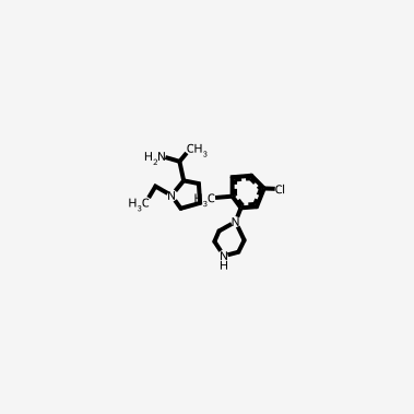 CCN1CCCC1C(C)N.Cc1ccc(Cl)cc1N1CCNCC1